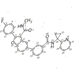 CNC(=O)c1c(-c2ccc(F)cc2)oc2ccc(-c3cccc(C(=O)NC4(c5ccccn5)CC4)c3)cc12